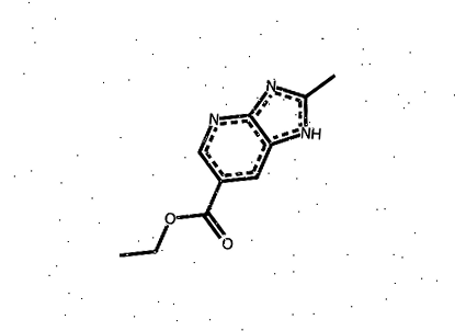 CCOC(=O)c1cnc2nc(C)[nH]c2c1